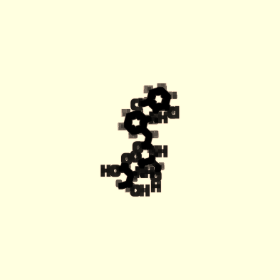 CC(O)[C@H](NC(=O)[C@H](CO)NC(=O)Cc1ccccc1Nc1c(Cl)cccc1Cl)C(=O)O